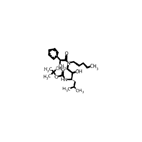 CCCCCN(CC(O)[C@H](CC(C)C)NC(=O)OC(C)(C)C)C(=O)C(C)c1ccccc1